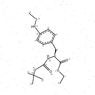 CCOC(=O)[C@H](Cc1ccc(NSC)cc1)NC(=O)OC(C)(C)C